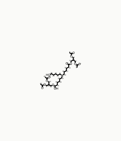 CC(=O)OCC(COC(C)=O)COC(=O)CCCCCN(CCCCCO)CCCCCC(O)OCC(COC(C)=O)COC(C)=O